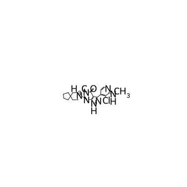 CNc1nccc(-c2n[nH]c3nc(N4CCC5(CCCC5)CC4)n(C)c(=O)c23)c1Cl